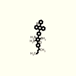 Bc1c(-c2ccc(-c3c4ccccc4c(-c4ccccc4)c4c(B)cccc34)cc2)c(B)c2oc3cc(/C(C)=C/C=C\C)ccc3c2c1B